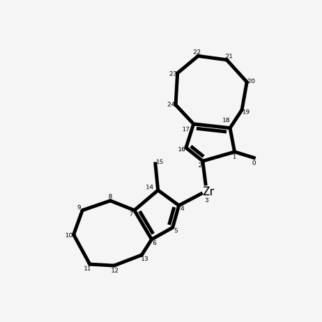 CC1[C]([Zr][C]2=CC3=C(CCCCCC3)C2C)=CC2=C1CCCCCC2